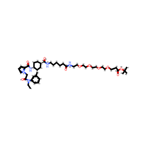 CCN(C(=O)Cn1cccc1C(=O)N[C@H]1CC[C@H](C(=O)NCCCCCC(=O)NCCOCCOCCOCCOCCC(=O)OC(C)(C)C)CC1)c1cccc(C)c1